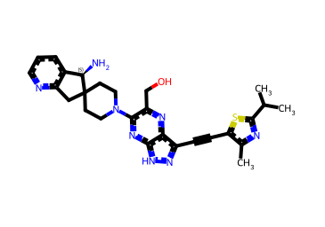 Cc1nc(C(C)C)sc1C#Cc1n[nH]c2nc(N3CCC4(CC3)Cc3ncccc3[C@H]4N)c(CO)nc12